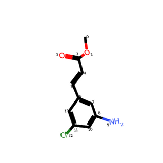 COC(=O)C=Cc1cc(N)cc(Cl)c1